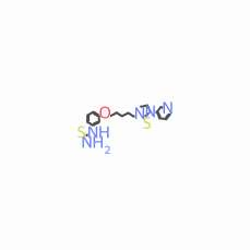 NC(=S)Nc1cccc(OCCCCCN2CCN(c3cccnc3)C2=S)c1